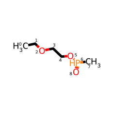 CCOCCO[PH](C)=O